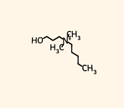 CCCCC[N+](C)(C)CCCO